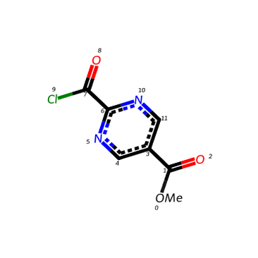 COC(=O)c1cnc(C(=O)Cl)nc1